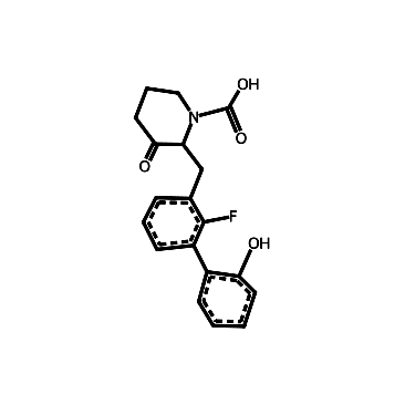 O=C1CCCN(C(=O)O)C1Cc1cccc(-c2ccccc2O)c1F